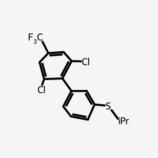 CC(C)Sc1cccc(-c2c(Cl)cc(C(F)(F)F)cc2Cl)c1